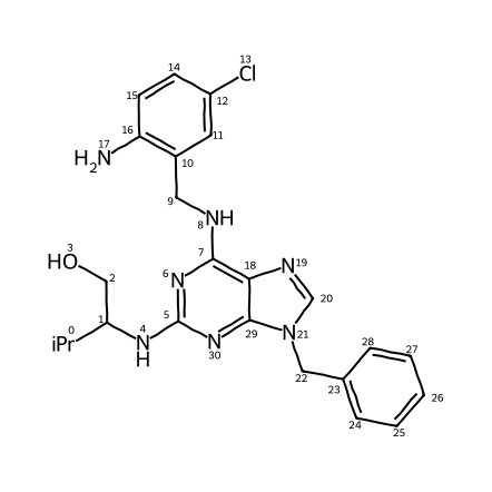 CC(C)C(CO)Nc1nc(NCc2cc(Cl)ccc2N)c2ncn(Cc3ccccc3)c2n1